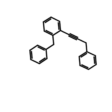 C(#Cc1ccccc1Cc1ccccc1)Cc1ccccc1